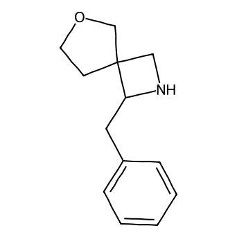 c1ccc(CC2NCC23CCOC3)cc1